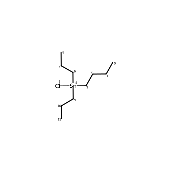 CCC[CH2][Sn]([Cl])([CH2]CC)[CH2]CC